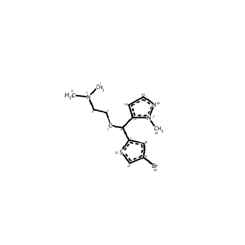 CN(C)CCOC(c1cc(Br)cs1)c1ccnn1C